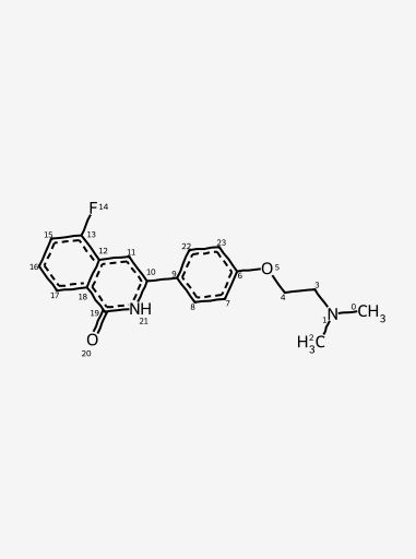 CN(C)CCOc1ccc(-c2cc3c(F)cccc3c(=O)[nH]2)cc1